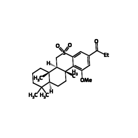 CCC(=O)c1cc(OC)c2c(c1)S(=O)(=O)C[C@@H]1[C@@]3(C)CCCC(C)(C)[C@@H]3CC[C@@]21C